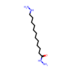 NNCCCCCCCCCCCC(=O)NN